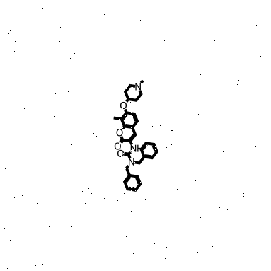 Cc1c(OC2CCN(C)CC2)ccc2cc(NC(=O)N(Cc3ccccc3)Cc3ccccc3)c(=O)oc12